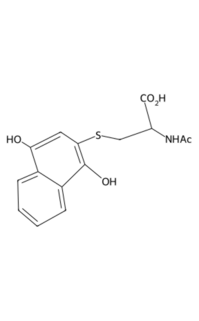 CC(=O)NC(CSc1cc(O)c2ccccc2c1O)C(=O)O